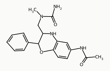 CC(=O)Nc1ccc2c(c1)NC(CN(C)C(N)=O)C(c1ccccc1)O2